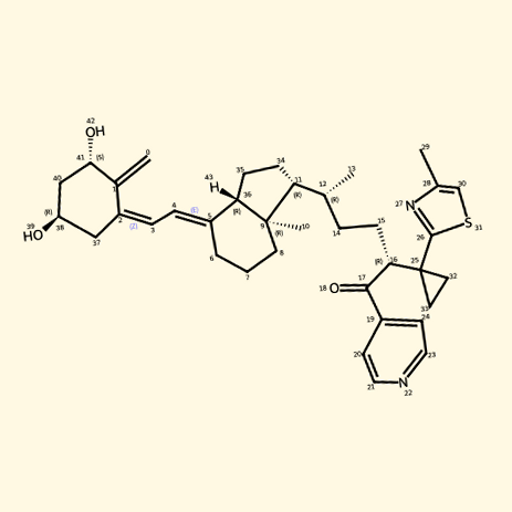 C=C1/C(=C\C=C2/CCC[C@]3(C)[C@@H]([C@H](C)CC[C@@H](C(=O)c4ccncc4)C4(c5nc(C)cs5)CC4)CC[C@@H]23)C[C@@H](O)C[C@@H]1O